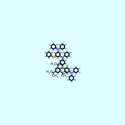 CC(C)c1cc(C(C)C)c(B2c3ccc(N(c4ccccc4)c4ccccc4)cc3Sc3cc(N(c4ccccc4)c4cc(Oc5ccccc5)cc(N(c5ccccc5)c5ccccc5)c4)ccc32)c(C(C)C)c1